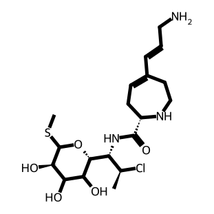 CSC1O[C@H]([C@H](NC(=O)[C@@H]2CC=C(/C=C/CN)CCN2)[C@H](C)Cl)C(O)C(O)[C@H]1O